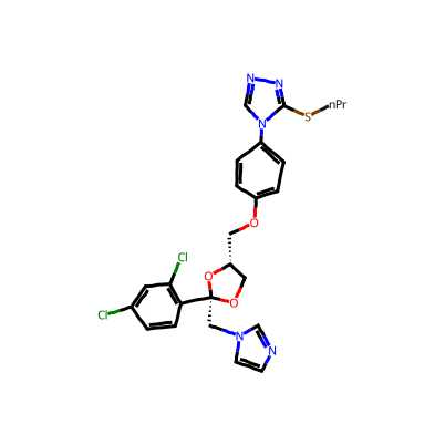 CCCSc1nncn1-c1ccc(OC[C@@H]2CO[C@@](Cn3ccnc3)(c3ccc(Cl)cc3Cl)O2)cc1